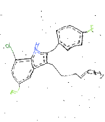 C=CCCc1c(-c2ccc(F)cc2)[nH]c2c(Cl)cc(F)cc12